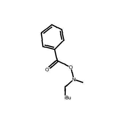 CCC(C)CN(C)OC(=O)c1ccccc1